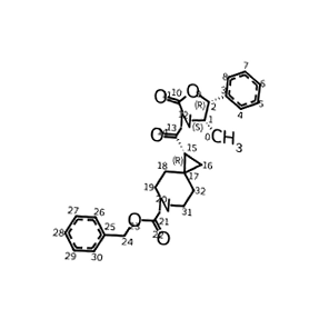 C[C@H]1[C@@H](c2ccccc2)OC(=O)N1C(=O)[C@@H]1CC12CCN(C(=O)OCc1ccccc1)CC2